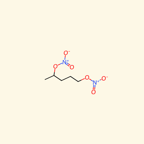 CC(CCCO[N+](=O)[O-])O[N+](=O)[O-]